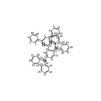 c1ccc(-c2cc(-c3ccccc3)nc(-c3cc(-n4c5ccccc5c5ccccc54)ccc3-n3c4ccccc4c4ccccc43)n2)cc1